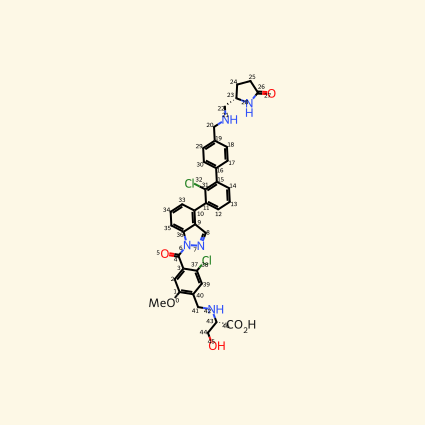 COc1cc(C(=O)n2ncc3c(-c4cccc(-c5ccc(CNC[C@@H]6CCC(=O)N6)cc5)c4Cl)cccc32)c(Cl)cc1CN[C@@H](CO)C(=O)O